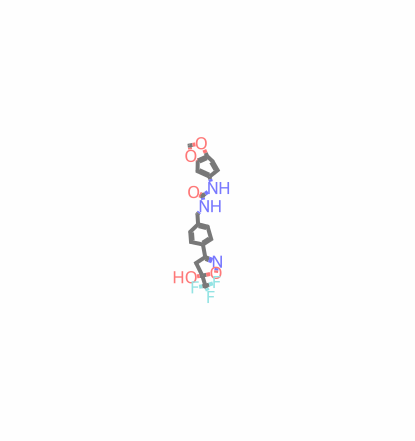 O=C(NCc1ccc(C2=NOC(O)(C(F)(F)F)C2)cc1)Nc1ccc2c(c1)OCO2